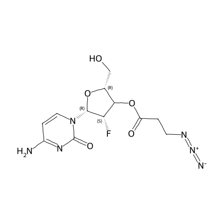 [N-]=[N+]=NCCC(=O)OC1[C@@H](CO)O[C@@H](n2ccc(N)nc2=O)[C@H]1F